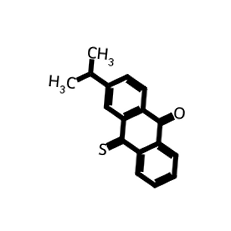 CC(C)c1ccc2c(c1)C(=S)c1ccccc1C2=O